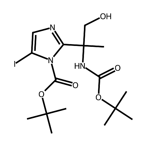 CC(C)(C)OC(=O)NC(C)(CO)c1ncc(I)n1C(=O)OC(C)(C)C